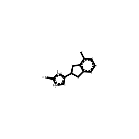 Cc1cccc2c1CC(c1c[nH]c(=S)[nH]1)C2